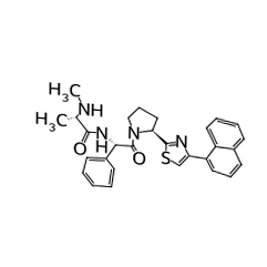 CN[C@@H](C)C(=O)N[C@H](C(=O)N1CCC[C@H]1c1nc(-c2cccc3ccccc23)cs1)c1ccccc1